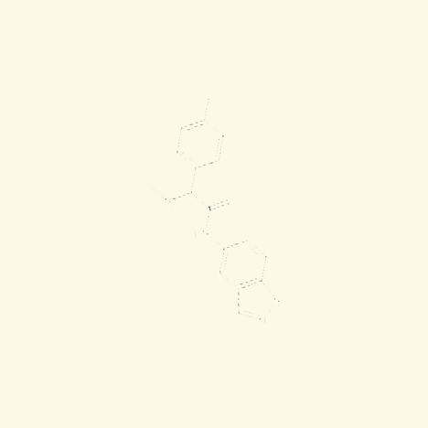 CNC(C(=O)Nc1ccc2[nH]ncc2c1)c1ccc(C)cc1